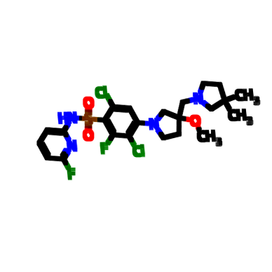 COC1(CN2CCC(C)(C)C2)CCN(c2cc(Cl)c(S(=O)(=O)Nc3cccc(F)n3)c(F)c2Cl)C1